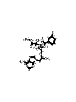 CCCOC(=O)C(C)(C)NP(=O)(COC(C)Cn1cnc2c(N)ncnc21)NC(C)c1cccc(F)c1